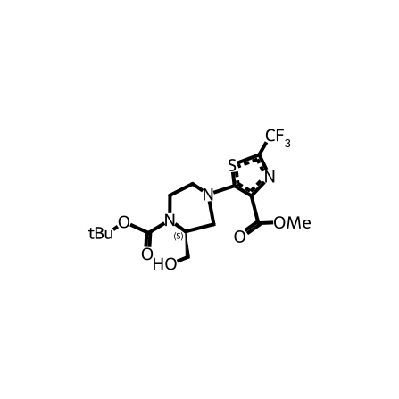 COC(=O)c1nc(C(F)(F)F)sc1N1CCN(C(=O)OC(C)(C)C)[C@H](CO)C1